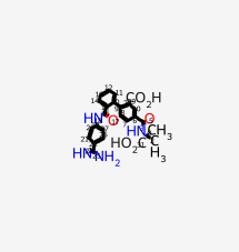 CC(C)(NC(=O)c1ccc(-c2ccccc2C(=O)Nc2ccc(C(=N)N)cc2)c(C(=O)O)c1)C(=O)O